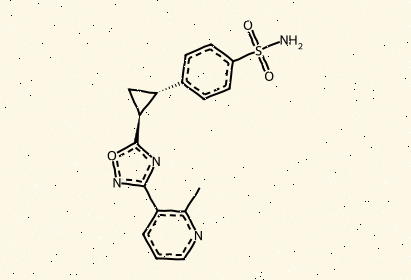 Cc1ncccc1-c1noc([C@H]2C[C@@H]2c2ccc(S(N)(=O)=O)cc2)n1